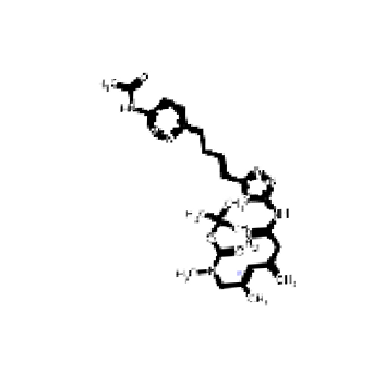 C=C(/C=C(\C)CN(C)C(=O)OC(C)(C)C)CC(=C)Nc1nnc(CCCCc2ccc(NC(C)=O)nn2)s1